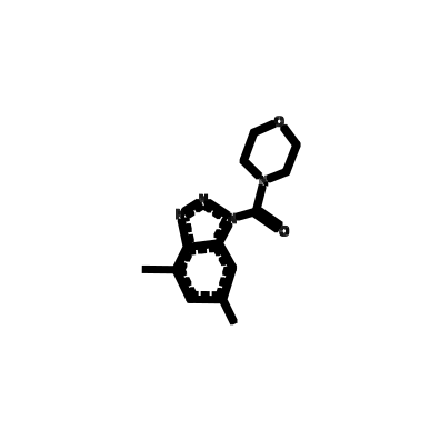 Cc1cc(C)c2nnn(C(=O)N3CCOCC3)c2c1